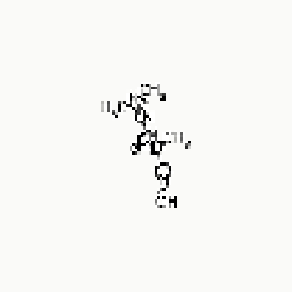 Cc1cn2nc(-c3cc(=O)n4cc(C5CCN(CCO)CC5)cc(C)c4n3)cc2c(C)n1